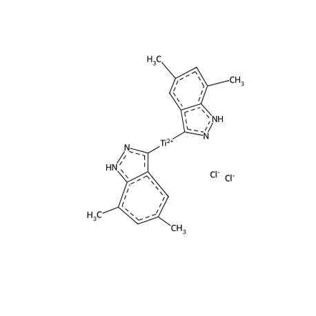 Cc1cc(C)c2[nH]n[c]([Ti+2][c]3n[nH]c4c(C)cc(C)cc34)c2c1.[Cl-].[Cl-]